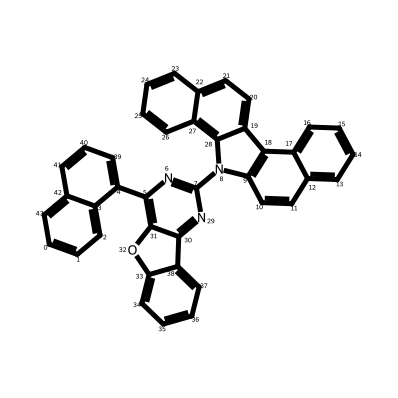 c1ccc2c(-c3nc(-n4c5ccc6ccccc6c5c5ccc6ccccc6c54)nc4c3oc3ccccc34)cccc2c1